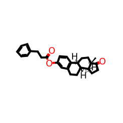 C[C@]12CC[C@@H]3c4ccc(OC(=O)CCc5ccccc5)cc4CC[C@H]3[C@@H]1CCC2=O